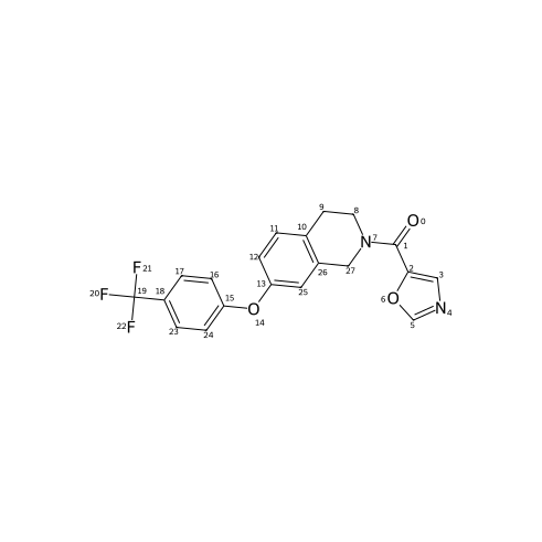 O=C(c1cnco1)N1CCc2ccc(Oc3ccc(C(F)(F)F)cc3)cc2C1